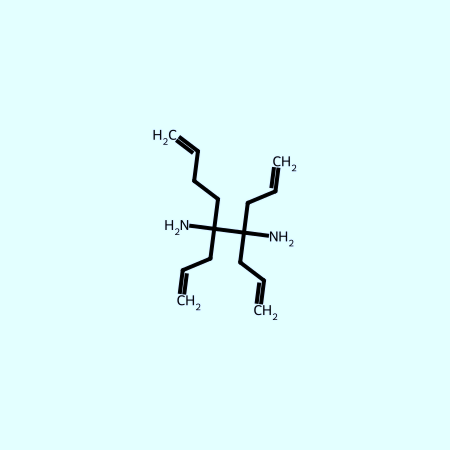 C=CCCC(N)(CC=C)C(N)(CC=C)CC=C